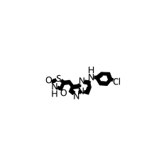 O=C1NC(=O)/C(=C\c2cnn3ccc(Nc4ccc(Cl)cc4)nc23)S1